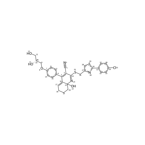 N#CC1=C(c2ccc(OC[C@H](O)CO)cc2)C2=CCCCC2(O)N=C1SCc1csc(-c2ccc(Cl)cc2)n1